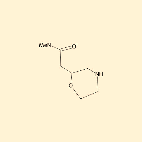 CNC(=O)CC1CNCCO1